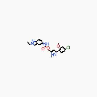 CCn1cc2cc(NC(=O)OCc3cc(-c4ccc(Cl)cc4OC)nn3C)ccc2n1